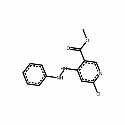 COC(=O)c1cnc(Cl)cc1NNc1ccccc1